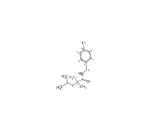 CC(C)CC(C)(C)C(=O)NCc1ccc(F)cc1